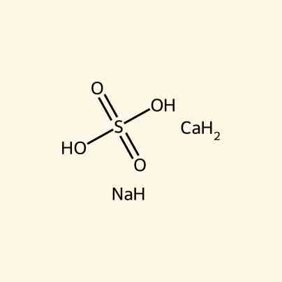 O=S(=O)(O)O.[CaH2].[NaH]